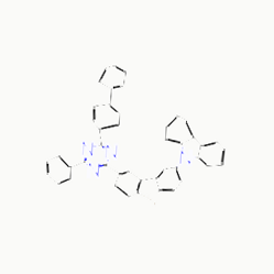 c1ccc(-c2ccc(-c3nc(-c4ccccc4)nc(-c4ccc5sc6ccc(-n7c8ccccc8c8ccccc87)cc6c5c4)n3)cc2)cc1